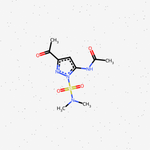 CC(=O)Nc1cc(C(C)=O)nn1S(=O)(=O)N(C)C